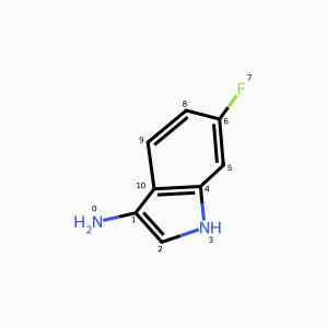 Nc1c[nH]c2cc(F)ccc12